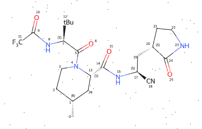 C[C@@H]1CCN(C(=O)[C@@H](NC(=O)C(F)(F)F)C(C)(C)C)[C@H](C(=O)N[C@H](C#N)C[C@@H]2CCNC2=O)C1